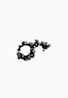 CCC1/C=C(\C)CC(C)CC(OC)C2OC(O)(C(=O)C(=O)N3CCCCC3C(=O)OC(C(C)=CC3CCC(OCC(O)c4cc(F)cc(C(F)(F)F)c4)C(OC)C3)C(C)C(O)CC1=O)C(C)CC2OC